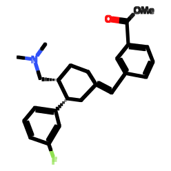 COC(=O)c1cccc(/C=C2\CC[C@@H](CN(C)C)[C@@H](c3cccc(F)c3)C2)c1